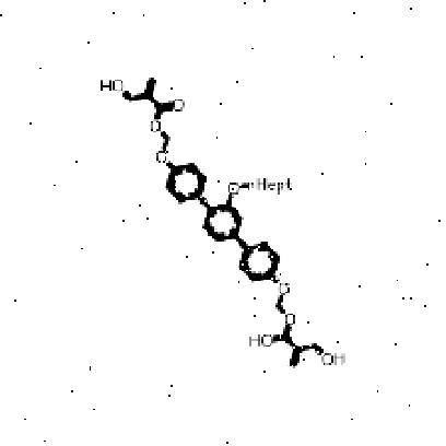 C=C(CO)C(=O)OCOc1ccc(-c2ccc(-c3ccc(OCOC(O)C(=C)CO)cc3)cc2OCCCCCCC)cc1